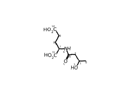 CC(O)CC(=O)NC(CCC(=O)O)C(=O)O